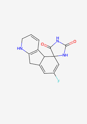 O=C1NC(=O)C2(C=C(F)C=C3CC4=C(C=CCN4)C32)N1